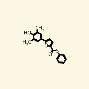 Cc1cc(-c2ccc(C(=O)Sc3ccccc3)o2)cc(C)c1O